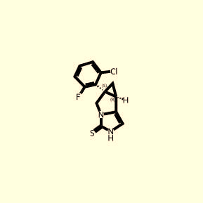 Fc1cccc(Cl)c1[C@]12C[C@H]1c1c[nH]c(=S)n1C2